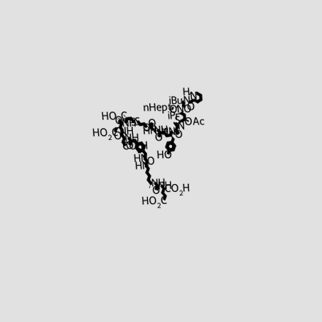 CCCCCCCOCN(C(=O)C(NC(=O)C1CCCCN1C)C(C)CC)[C@H](C[C@@H](OC(C)=O)c1nc(C(=O)N[C@@H](Cc2ccc(O)cc2)C[C@H](C)C(=O)NNC(=O)OCCSSC[C@H](NC(=O)[C@H](CC(=O)O)NC(=O)C(CC(=O)O)NC(=O)Cc2ccc(CNC(=O)NCCCC[C@@H](C)NC(=O)N[C@@H](CCC(=O)O)C(=O)O)cc2)C(=O)O)cs1)C(C)C